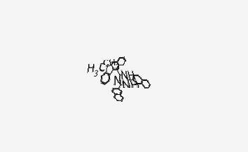 CC1(C)c2ccccc2-c2c1cc1ccccc1c2C1N=C(c2ccc3ccccc3c2)NC(c2ccc3ccccc3c2)N1